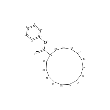 O=C(Oc1ccccc1)C1CCCCCCCCCCCCCC1